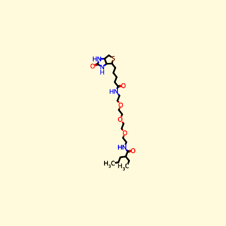 CCCC(CC)C(=O)NCCOCCOCCOCCNC(=O)CCCCC1SCC2NC(=O)NC21